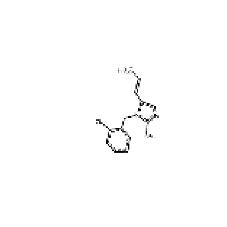 CCCCc1ncc(C=CC(=O)O)n1Cc1ccccc1Cl